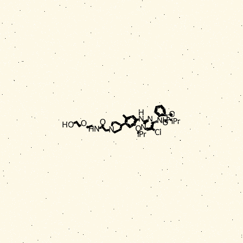 Cc1cc(Nc2ncc(Cl)c(Nc3ccccc3S(=O)(=O)C(C)C)n2)c(OC(C)C)cc1C1CCN(CC(=O)NCCOCCO)CC1